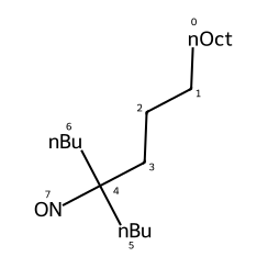 CCCCCCCCCCCC(CCCC)(CCCC)N=O